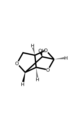 O[C@H]1[C@@H]2O[C@H]3[C@@H]1OC[C@H]3O2